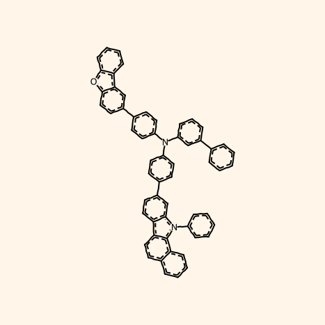 c1ccc(-c2cccc(N(c3ccc(-c4ccc5oc6ccccc6c5c4)cc3)c3ccc(-c4ccc5c6ccc7ccccc7c6n(-c6ccccc6)c5c4)cc3)c2)cc1